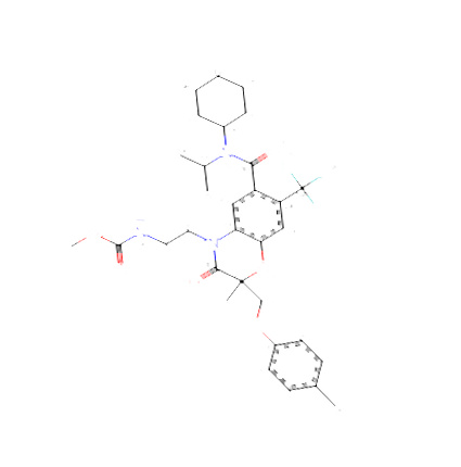 COC(=O)NCCN1C(=O)C(C)(COc2ccc(C)cc2)Oc2cc(C(F)(F)F)c(C(=O)N(C(C)C)C3CCCCC3)cc21